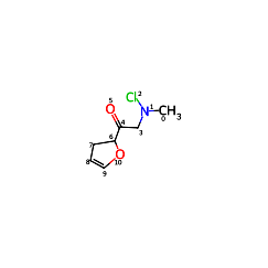 CN(Cl)CC(=O)C1CC=CO1